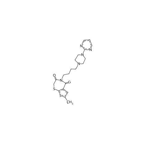 Cc1cc2c(s1)SCC(=O)N(CCCCN1CCN(c3ncccn3)CC1)C2=O